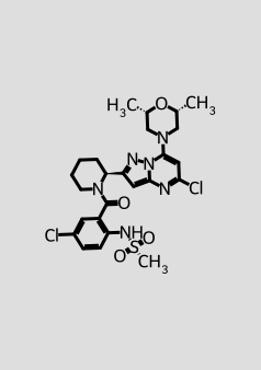 C[C@@H]1CN(c2cc(Cl)nc3cc([C@@H]4CCCCN4C(=O)c4cc(Cl)ccc4NS(C)(=O)=O)nn23)C[C@H](C)O1